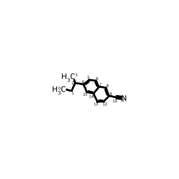 CCC(C)c1ccc2cc(C#N)ccc2c1